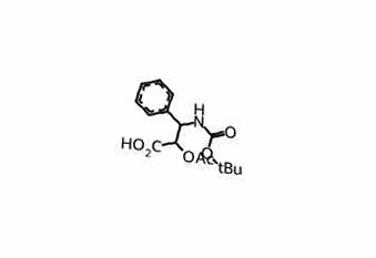 CC(=O)OC(C(=O)O)C(NC(=O)OC(C)(C)C)c1ccccc1